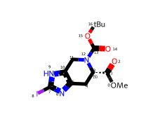 COC(=O)[C@@H]1Cc2nc(I)[nH]c2CN1C(=O)OC(C)(C)C